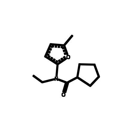 CCN(C(=O)C1CCCC1)c1ccc(C)o1